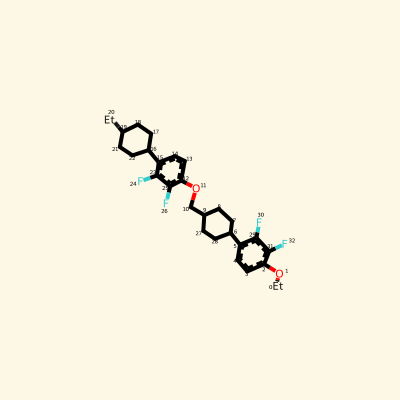 CCOc1ccc(C2CCC(COc3ccc(C4CCC(CC)CC4)c(F)c3F)CC2)c(F)c1F